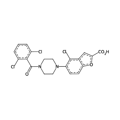 O=C(O)c1cc2c(Cl)c(N3CCN(C(=O)c4c(Cl)cccc4Cl)CC3)ccc2o1